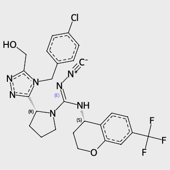 [C-]#[N+]/N=C(\N[C@H]1CCOc2cc(C(F)(F)F)ccc21)N1CCC[C@@H]1c1nnc(CO)n1Cc1ccc(Cl)cc1